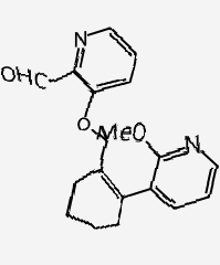 COc1ncccc1C1=C(COc2cccnc2C=O)CCCC1